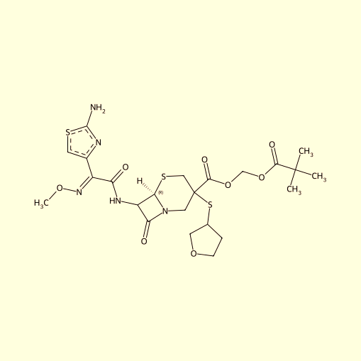 CON=C(C(=O)NC1C(=O)N2CC(SC3CCOC3)(C(=O)OCOC(=O)C(C)(C)C)CS[C@H]12)c1csc(N)n1